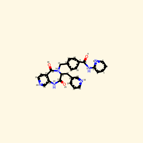 O=C(Nc1ccccn1)c1ccc(CN2C(=O)c3ccncc3NC(=O)C2Cc2cccnc2)cc1